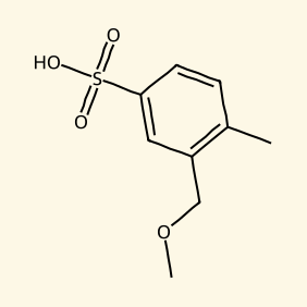 COCc1cc(S(=O)(=O)O)ccc1C